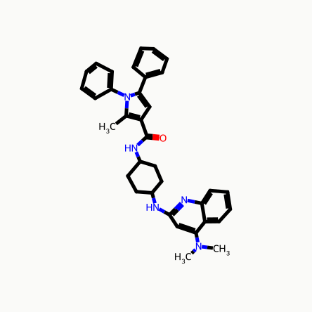 Cc1c(C(=O)NC2CCC(Nc3cc(N(C)C)c4ccccc4n3)CC2)cc(-c2ccccc2)n1-c1ccccc1